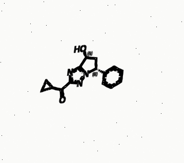 O=C(c1nc2n(n1)[C@@H](c1ccccc1)C[C@@H]2O)C1CC1